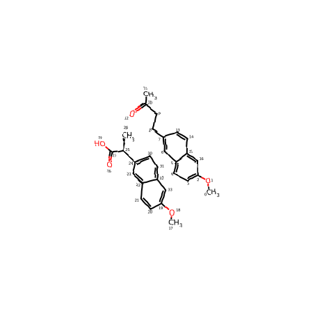 COc1ccc2cc(CCC(C)=O)ccc2c1.COc1ccc2cc([C@H](C)C(=O)O)ccc2c1